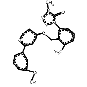 COc1cccc(-c2cc(OCc3c(C)cccc3-n3nnn(C)c3=O)ccn2)c1